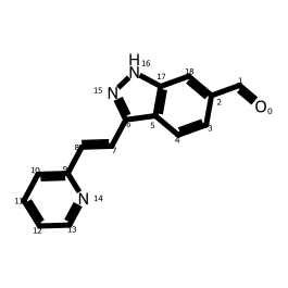 O=Cc1ccc2c(/C=C/c3ccccn3)n[nH]c2c1